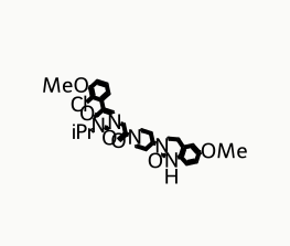 COc1ccc2c(c1)CCN(C1CCN(C(=O)Cn3cc(-c4cccc(OC)c4Cl)c(=O)n(C(C)C)c3=O)CC1)C(=O)N2